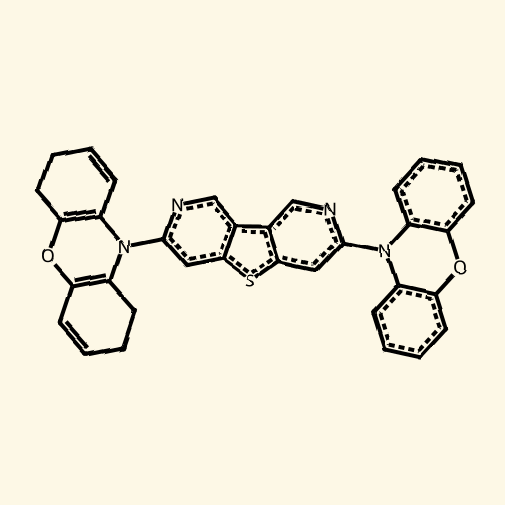 C1=CC2=C(CC1)OC1=C(CCC=C1)N2c1cc2sc3cc(N4c5ccccc5Oc5ccccc54)ncc3c2cn1